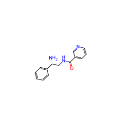 N[C@H](CNC(=O)c1cccnc1)c1ccccc1